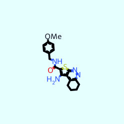 COc1ccc(CNC(=O)c2sc3nnc4c(c3c2N)CCCC4)cc1